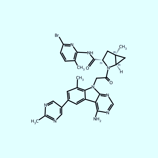 Cc1ncc(-c2cc(C)c3c(c2)c2c(N)ncnc2n3CC(=O)N2[C@H](C(=O)Nc3nc(Br)ccc3C)C[C@@]3(C)C[C@@H]23)cn1